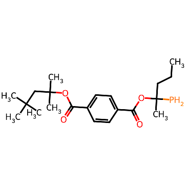 CCCC(C)(P)OC(=O)c1ccc(C(=O)OC(C)(C)CC(C)(C)C)cc1